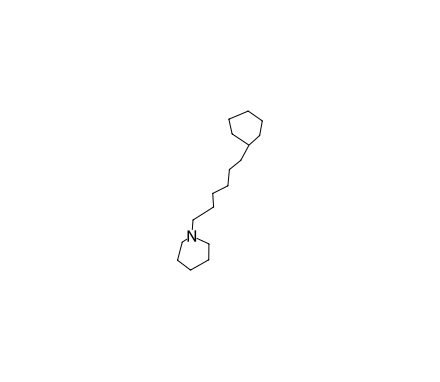 C(CCCN1CCCCC1)CCC1CCCCC1